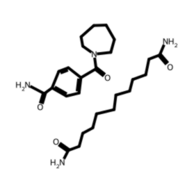 NC(=O)CCCCCCCCCCC(N)=O.NC(=O)c1ccc(C(=O)N2CCCCCC2)cc1